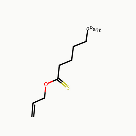 C=CCOC(=S)CCCCCCCCC